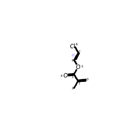 C=C(C)C(=O)O/C=C/Cl